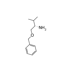 CC(C)[C@H](N)COCc1ccccc1